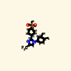 Cc1ccc(-n2cc(C(F)(F)F)nc2-c2ccc(S(C)(=O)=O)cc2)cc1C